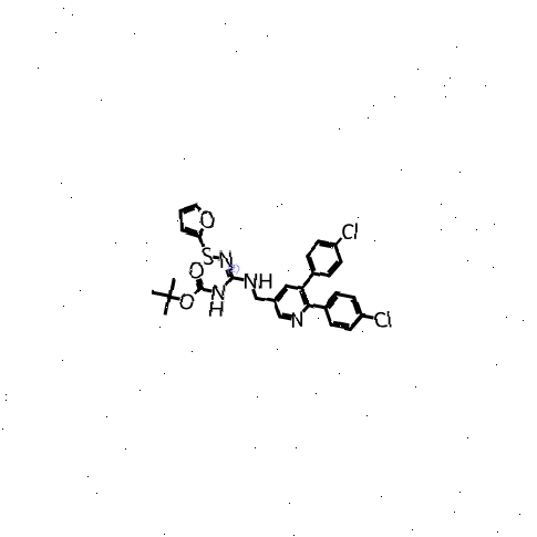 CC(C)(C)OC(=O)N/C(=N\Sc1ccco1)NCc1cnc(-c2ccc(Cl)cc2)c(-c2ccc(Cl)cc2)c1